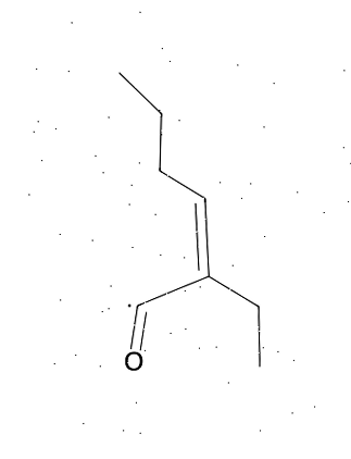 CCCC=C([C]=O)CC